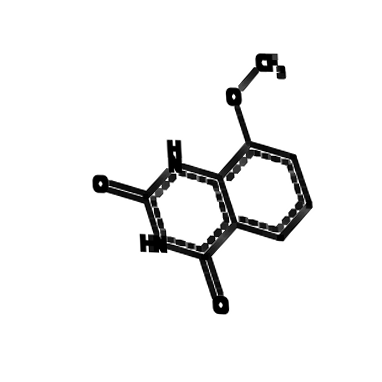 O=c1[nH]c(=O)c2cccc(OC(F)(F)F)c2[nH]1